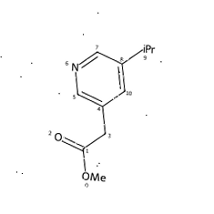 COC(=O)Cc1cncc(C(C)C)c1